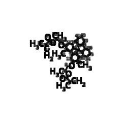 C=C(C)C(=O)OC(C)COc1ccc(C2(c3ccc(OCC(C)OC(=O)C(=C)C)c(C)c3)c3ccccc3-c3ccccc32)cc1C